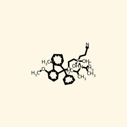 COc1cccc(C(OCCP(O)(O)(CCC#N)N(C(C)C)C(C)C)(c2ccccc2)c2ccccc2)c1OC